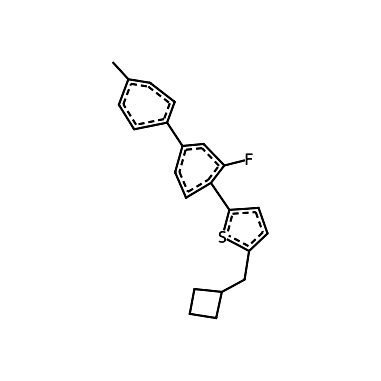 Cc1ccc(-c2ccc(-c3ccc(CC4CCC4)s3)c(F)c2)cc1